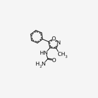 Cc1noc(-c2ccccc2)c1NC(N)=O